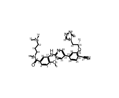 COc1ccc(C(=O)N(C)CCCN(C)C)cc1Nc1ncc(-c2ccc(C#N)c(O[C@@H](C)Cn3cnnn3)c2)cn1